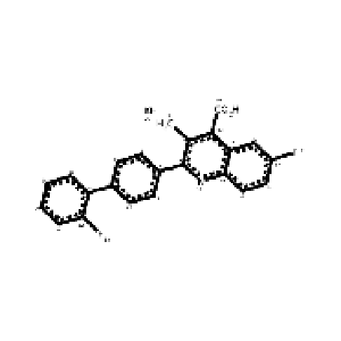 Cc1c(-c2ccc(-c3ccccc3F)cc2)nc2ccc(F)cc2c1C(=O)O.[KH]